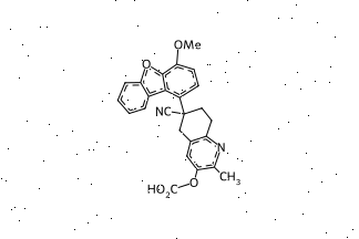 COc1ccc(C2(C#N)CCc3nc(C)c(OC(=O)O)cc3C2)c2c1oc1ccccc12